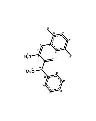 C=C(/C(N)=C\c1cc(C)ccc1C)C(OC)c1ccccc1